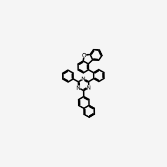 c1ccc(-c2nc(-c3ccc4ccccc4c3)nc(-c3ccccc3-c3cccc4oc5ccccc5c34)n2)cc1